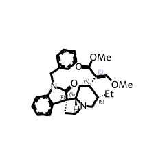 CC[C@@H]1CN2CC[C@]3(C(=O)N(Cc4ccccc4)c4ccccc43)[C@@H]2C[C@@H]1/C(=C\OC)C(=O)OC